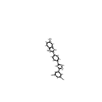 Cc1cc(C)cc(-c2nc(-c3ccc(-c4nc5cc(Cl)ccc5[nH]4)cc3)no2)c1